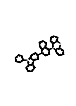 c1ccc(-n2c3ccccc3c3cc(-c4ccc(N5c6ccccc6Sc6ccccc65)c5ccccc45)ccc32)cc1